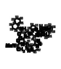 CN[C@@H](C)C(=O)N[C@@H](Cc1nnn2c1-c1c(C[C@H](NC(=O)[C@H](C)NC)C(=O)N3CCC[C@H]3C(=O)N[C@@H]3CCCc4ccccc43)nnn1CC2)C(=O)N1CCC[C@H]1C(=O)NC1CCCc2ccccc21